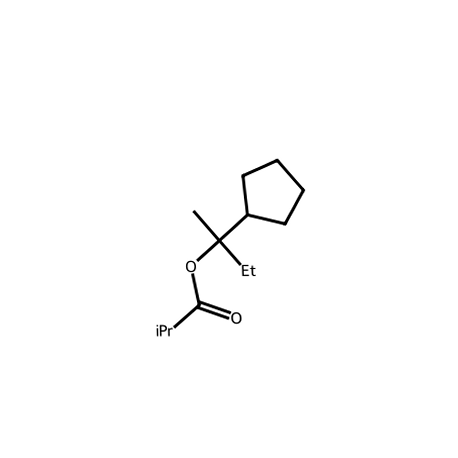 CCC(C)(OC(=O)C(C)C)C1CCCC1